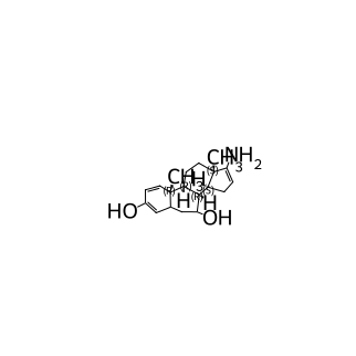 C[C@]12C=CC(O)=CC1CC(O)[C@@H]1[C@H]2CC[C@]2(C)C(N)=CC[C@@H]12